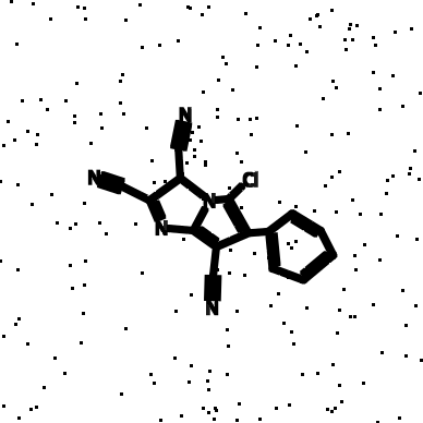 N#CC1=Nc2c(C#N)c(-c3ccccc3)c(Cl)n2C1C#N